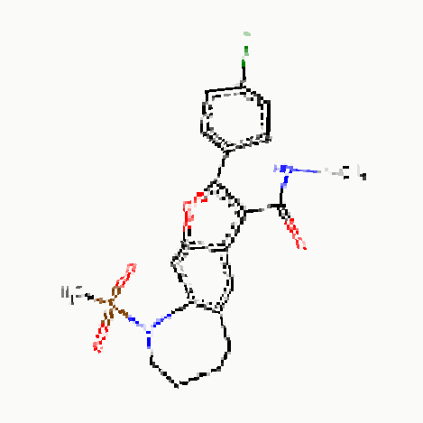 CNC(=O)c1c(-c2ccc(F)cc2)oc2cc3c(cc12)CCCCN3S(C)(=O)=O